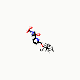 CC(C)(C)[Si](C)(C)OCc1cccc(C2(O)CN(C(=O)O)C2)n1